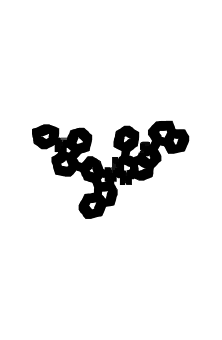 c1ccc(-c2nc(-n3c4ccc(-c5cccc6c5c5ccccc5n6-c5ccccc5)cc4c4c5ccccc5ccc43)nc3ccc4cc(-c5cccc6ccccc56)sc4c23)cc1